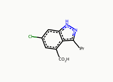 CC(C)c1n[nH]c2cc(Cl)cc(C(=O)O)c12